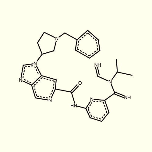 CC(C)N(C=N)C(=N)c1cccc(NC(=O)c2cc3c(cn2)ncn3C2CCN(Cc3ccccc3)C2)n1